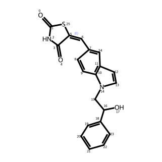 O=C1NC(=O)/C(=C\c2ccc3c(ccn3CC(O)c3ccccc3)c2)S1